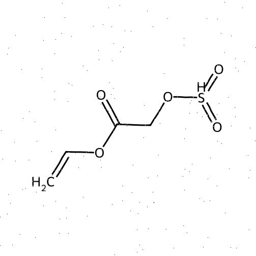 C=COC(=O)CO[SH](=O)=O